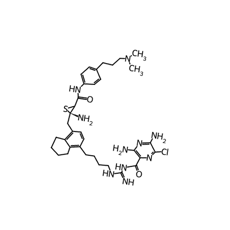 CN(C)CCCc1ccc(NC(=O)C2S[C@@]2(N)Cc2ccc(CCCCNC(=N)NC(=O)c3nc(Cl)c(N)nc3N)c3c2CCCC3)cc1